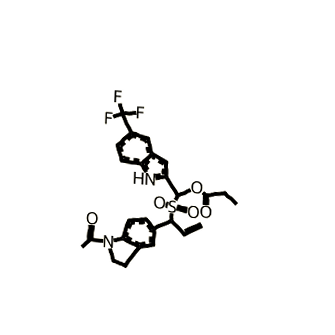 C=CC(c1ccc2c(c1)CCN2C(C)=O)S(=O)(=O)C(OC(=O)CC)c1cc2cc(C(F)(F)F)ccc2[nH]1